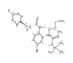 CC[C@H](C)[C@@H](CN(C(=O)[C@@H]1C[C@H]1c1ccc(F)cn1)c1ccc(Br)cc1)NC(=O)OC(C)(C)C